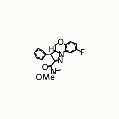 CON(C)C(=O)C1=NN2c3cc(F)ccc3OC[C@@H]2[C@@H]1c1ccccc1